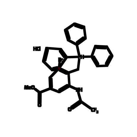 COC(=O)c1cc(Br)c(C[PH](c2ccccc2)(c2ccccc2)c2ccccc2)c(NC(=O)C(F)(F)F)c1.Cl